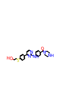 O=C(c1ccc(Nc2nccc(-c3ccc(SCCO)cc3)n2)cc1)N1CCNCC1